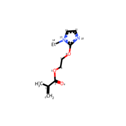 C=C(C)C(=O)OCCOc1nccn1CC